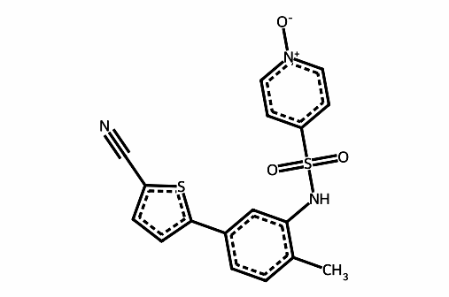 Cc1ccc(-c2ccc(C#N)s2)cc1NS(=O)(=O)c1cc[n+]([O-])cc1